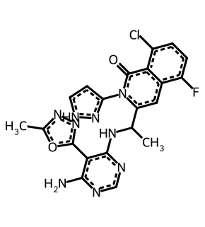 Cc1nnc(-c2c(N)ncnc2NC(C)c2cc3c(F)ccc(Cl)c3c(=O)n2-c2cc[nH]n2)o1